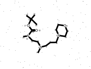 CN(CCCN1CCOCC1)CCN(C)C(=O)OC(C)(C)C